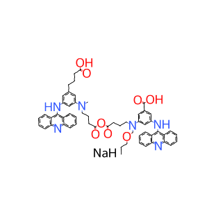 CCCOCN(CCCC(=O)OC(=O)CCCN(C)c1cc(CCCC(=O)O)cc(Nc2c3ccccc3nc3ccccc23)c1)c1cc(Nc2c3ccccc3nc3ccccc23)cc(C(=O)O)c1.[NaH]